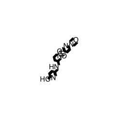 O=S(=O)(c1ccc(N2CCOCC2)nc1)N1CCCC(CNCc2ccc(O)nc2)C1